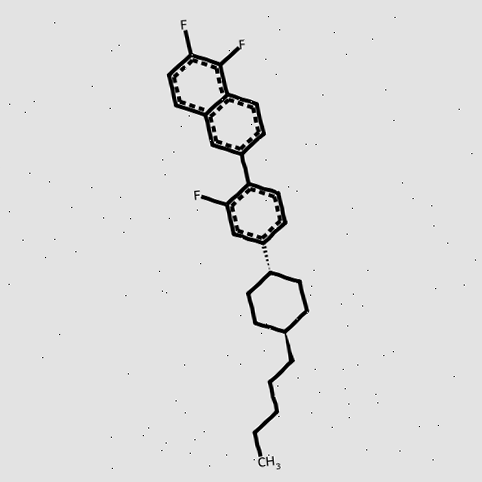 CCCCC[C@H]1CC[C@H](c2ccc(-c3ccc4c(F)c(F)ccc4c3)c(F)c2)CC1